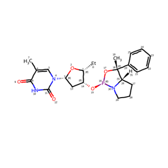 CC[C@H]1O[C@@H](n2cc(C)c(=O)[nH]c2=O)C[C@H]1O[P@@]1O[C@](C)(c2ccccc2)[C@@H]2CCCN21